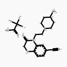 N#Cc1ccc2c(c1)N(CCN1CCC(N)CC1)C(=O)CO2.O=C(O)C(F)(F)F